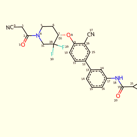 N#CCC(=O)N1CC[C@H](Oc2ccc(-c3cccc(NC(=O)C4CC4)c3)cc2C#N)C(F)(F)C1